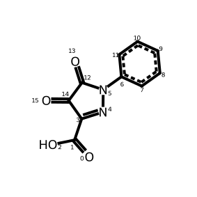 O=C(O)C1=NN(c2ccccc2)C(=O)C1=O